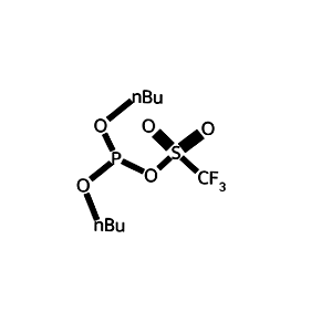 CCCCOP(OCCCC)OS(=O)(=O)C(F)(F)F